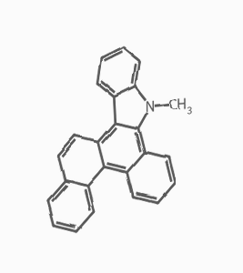 Cn1c2ccccc2c2c3ccc4ccccc4c3c3ccccc3c21